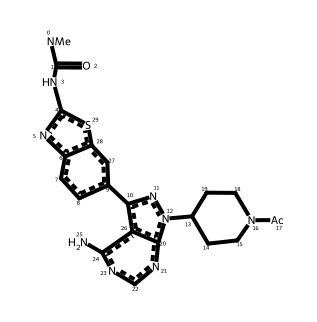 CNC(=O)Nc1nc2ccc(-c3nn(C4CCN(C(C)=O)CC4)c4ncnc(N)c34)cc2s1